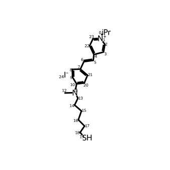 CC(C)[n+]1ccc(/C=C/c2ccc(N(C)CCCCCCS)cc2)cc1.[I-]